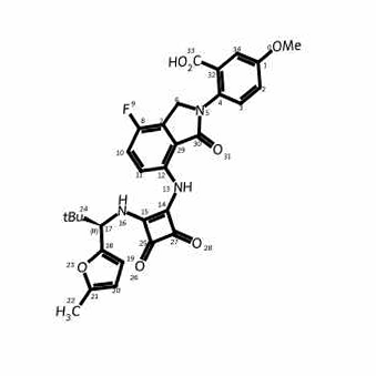 COc1ccc(N2Cc3c(F)ccc(Nc4c(N[C@@H](c5ccc(C)o5)C(C)(C)C)c(=O)c4=O)c3C2=O)c(C(=O)O)c1